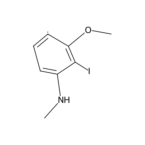 CNc1cc[c]c(OC)c1I